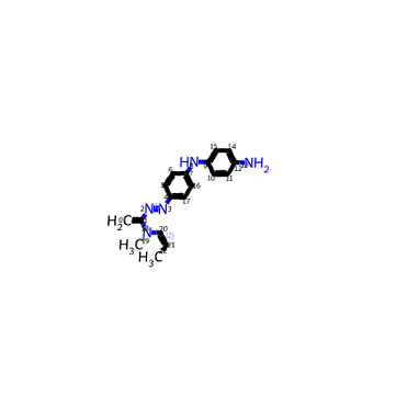 C=C(/N=N/c1ccc(Nc2ccc(N)cc2)cc1)N(C)/C=C\C